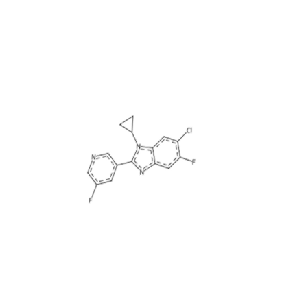 Fc1cncc(-c2nc3cc(F)c(Cl)cc3n2C2CC2)c1